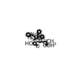 CC(CCC=CC[C@H]1C(=O)C[C@@H](O)[C@@H]1C=C[C@@H](O[Si](c1ccccc1)(c1ccccc1)C(C)(C)C)c1nc2ccccc2s1)C(=O)O